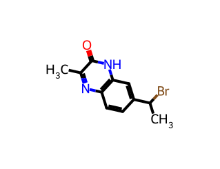 Cc1nc2ccc(C(C)Br)cc2[nH]c1=O